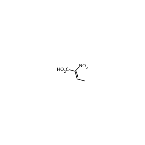 C/C=C(/C(=O)O)[N+](=O)[O-]